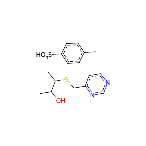 CC(O)C(C)SCc1ccncn1.Cc1ccc(S(=O)(=O)O)cc1